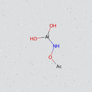 CC(=O)O[NH][Al]([OH])[OH]